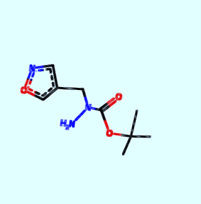 CC(C)(C)OC(=O)N(N)Cc1cnoc1